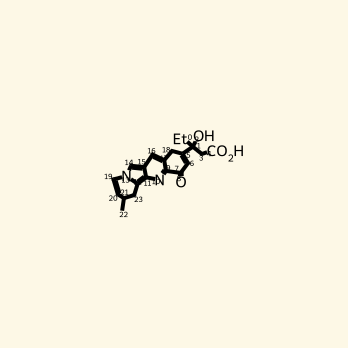 CCC(O)(CC(=O)O)C1=CC(=O)c2nc3c4n(cc3cc2C1)C=CC(C)C4